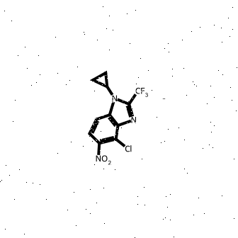 O=[N+]([O-])c1ccc2c(nc(C(F)(F)F)n2C2CC2)c1Cl